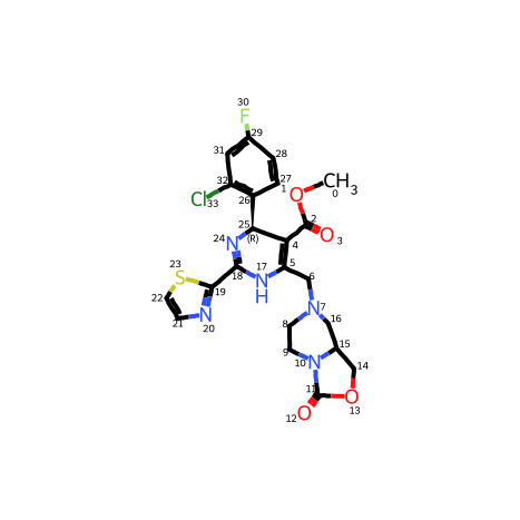 COC(=O)C1=C(CN2CCN3C(=O)OCC3C2)NC(c2nccs2)=N[C@H]1c1ccc(F)cc1Cl